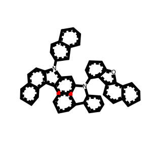 c1ccc(-c2ccccc2N(c2ccc3c4c5ccccc5ccc4n(-c4ccc5ccccc5c4)c3c2)c2cccc3oc4c5ccccc5ccc4c23)cc1